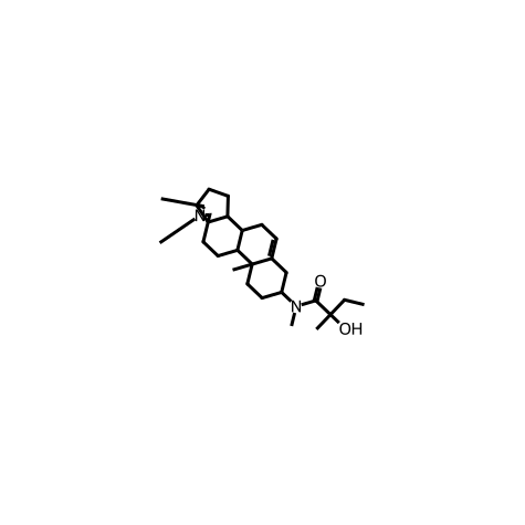 CCC(C)(O)C(=O)N(C)C1CCC2(C)C(=CCC3C2CCC24CN(C)C(C)C2CCC34)C1